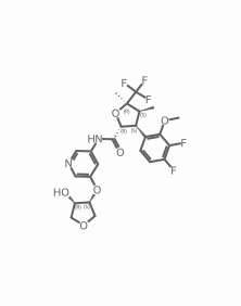 COc1c([C@H]2[C@H](C(=O)Nc3cncc(O[C@H]4COC[C@H]4O)c3)O[C@@](C)(C(F)(F)F)[C@H]2C)ccc(F)c1F